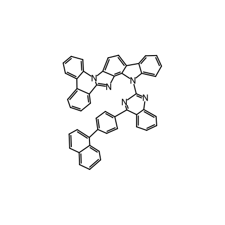 c1ccc2c(-c3ccc(-c4nc(-n5c6ccccc6c6ccc7c(nc8c9ccccc9c9ccccc9n78)c65)nc5ccccc45)cc3)cccc2c1